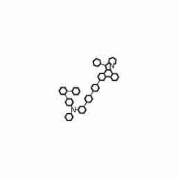 c1ccc(-c2ccccc2-c2ccc(N(c3ccccc3)c3cccc(-c4ccc(-c5ccc(-c6ccc7c(c6)c6ccccc6c6c7c(-c7ccccc7)c7ccccn76)cc5)cc4)c3)cc2)cc1